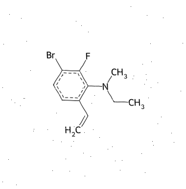 C=Cc1ccc(Br)c(F)c1N(C)CC